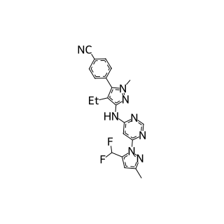 CCc1c(Nc2cc(-n3nc(C)cc3C(F)F)ncn2)nn(C)c1-c1ccc(C#N)cc1